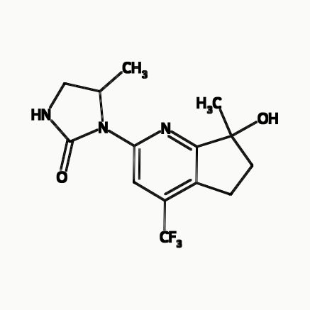 CC1CNC(=O)N1c1cc(C(F)(F)F)c2c(n1)C(C)(O)CC2